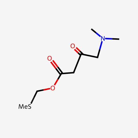 CSCOC(=O)CC(=O)CN(C)C